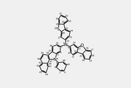 c1ccc(-n2c3cc(N(c4ccc5c(c4)oc4ccccc45)c4ccc5c(c4)sc4ccccc45)ccc3c3ccc4ccccc4c32)cc1